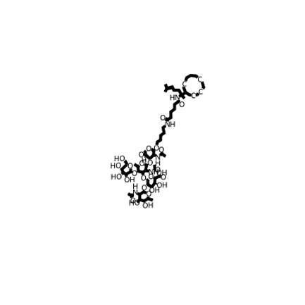 CC(=O)NC1C(O)[C@H](O)C(C)O[C@H]1OC1C(O)[C@H](O)C(C(=O)O)O[C@H]1OC1C(NC(C)=O)[C@H](OC2C(NC(C)=O)[C@H](OCCCCCNC(=O)CCCCC(=O)NC(C)(CCC=C(C)C)C3CCCCCCCCCCCC3)OC3O[C@@H]32)OC(C)[C@H]1O[C@@H]1OC(CO)[C@@H](O)C(O)C1O